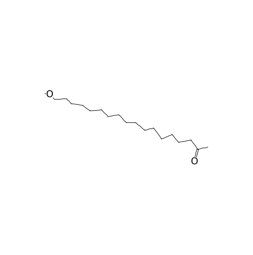 CC(=O)CCCCCCCCCCCCCCCC[O]